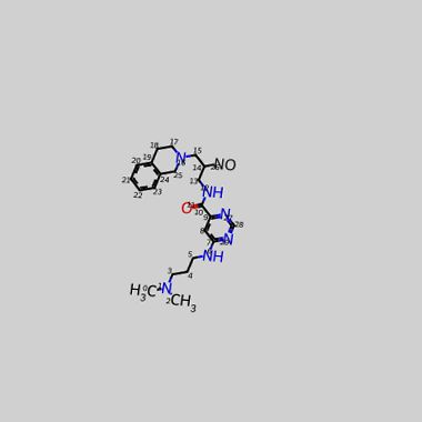 CN(C)CCCNc1cc(C(=O)NCC(CN2CCc3ccccc3C2)N=O)ncn1